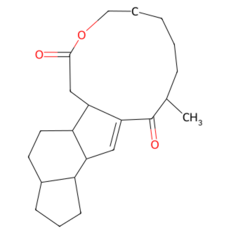 CC1CCCCCOC(=O)CC2C(=CC3C4CCCC4CCC23)C1=O